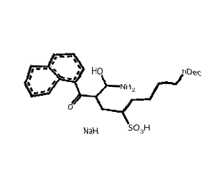 CCCCCCCCCCCCCCC(CC(C(=O)c1cccc2ccccc12)C(N)O)S(=O)(=O)O.[NaH]